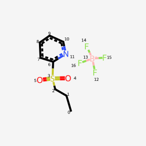 CCCS(=O)(=O)c1ccccn1.F[B-](F)(F)F